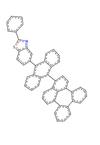 c1ccc(-c2nc3cc(-c4c5ccccc5c(-c5ccc6c7c(cccc57)-c5ccccc5-c5ccccc5-6)c5ccccc45)ccc3s2)cc1